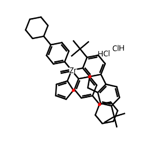 Cl.Cl.[CH2]=[Zr]([C]1=CC=CC1)([c]1ccc(C2CCCCC2)cc1)([c]1ccc(C2CCCCC2)cc1)[c]1c(C(C)(C)C)ccc2c1Cc1cc(C(C)(C)C)ccc1-2